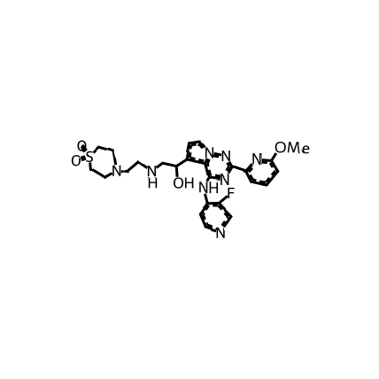 COc1cccc(-c2nc(Nc3ccncc3F)c3c(C(O)CNCCN4CCS(=O)(=O)CC4)ccn3n2)n1